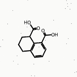 O=C(O)c1cccc2c1C(C(=O)O)CCC2